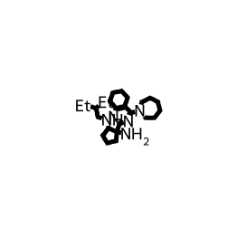 CCC(CC)CNC1CCCC1(N)c1nc2c(c(N3CCCCCC3)n1)CCCC2